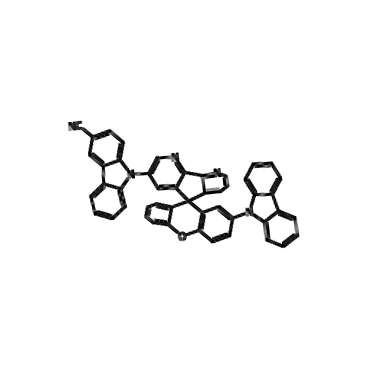 N#Cc1ccc2c(c1)c1ccccc1n2-c1cnc2c(c1)C1(c3ccccc3Oc3ccc(-n4c5ccccc5c5ccccc54)cc31)c1cccnc1-2